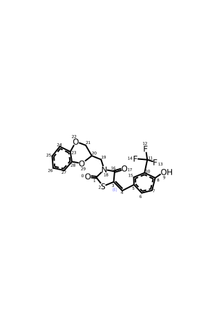 O=C1S/C(=C/c2ccc(O)c(C(F)(F)F)c2)C(=O)N1CC1COc2ccccc2O1